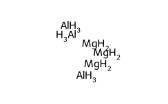 [AlH3].[AlH3].[AlH3].[MgH2].[MgH2].[MgH2]